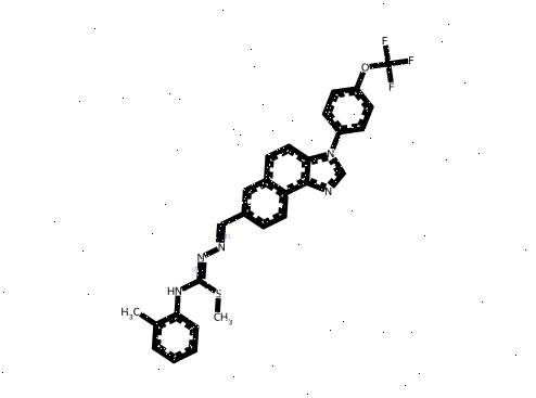 CS/C(=N\N=C\c1ccc2c(ccc3c2ncn3-c2ccc(OC(F)(F)F)cc2)c1)Nc1ccccc1C